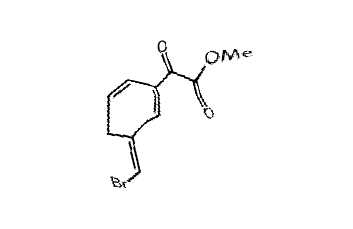 COC(=O)C(=O)C1=CC(=CBr)CC=C1